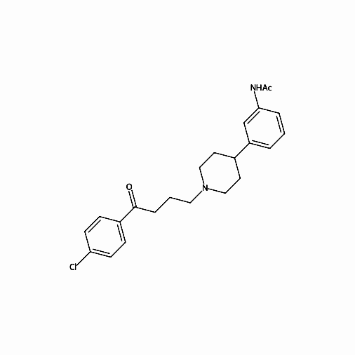 CC(=O)Nc1cccc(C2CCN(CCCC(=O)c3ccc(Cl)cc3)CC2)c1